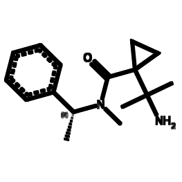 C[C@H](c1ccccc1)N(C)C(=O)C1(C(C)(C)N)CC1